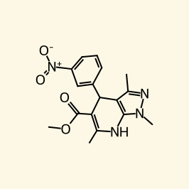 COC(=O)C1=C(C)Nc2c(c(C)nn2C)C1c1cccc([N+](=O)[O-])c1